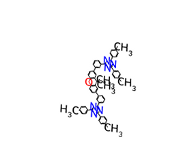 Cc1ccc(-c2nc(-c3ccc(C)cc3)nc(-c3cccc(-c4ccc5c(c4)C(C)(C)c4cc(-c6cccc(-c7nc(-c8ccc(C)cc8)nc(-c8ccc(C)cc8)n7)c6)ccc4O5)c3)n2)cc1